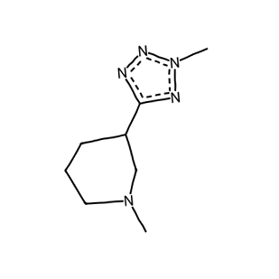 CN1CCCC(c2nnn(C)n2)C1